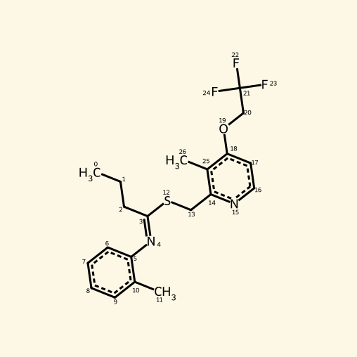 CCC/C(=N\c1ccccc1C)SCc1nccc(OCC(F)(F)F)c1C